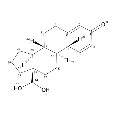 O=C1C=C[C@H]2C(=C1)CC[C@@H]1[C@@H]2CC[C@]2(C(O)O)CCC[C@@H]12